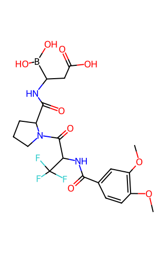 COc1ccc(C(=O)NC(C(=O)N2CCCC2C(=O)NC(CC(=O)O)B(O)O)C(F)(F)F)cc1OC